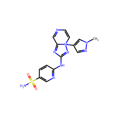 Cn1cc([N+]23C=CN=CC2=NC(Nc2ccc(S(N)(=O)=O)cn2)=N3)cn1